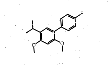 COc1cc(OC)c(C(C)C)cc1-c1ccc(F)cc1